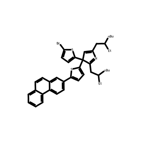 CCCCC(CC)CC1=CC(c2ccc(Br)s2)(c2ccc(-c3ccc4c(ccc5ccccc54)c3)s2)C(CC(CC)CCCC)=N1